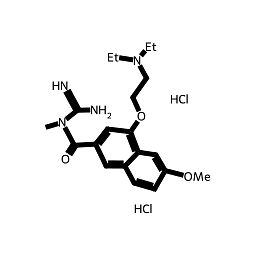 CCN(CC)CCOc1cc(C(=O)N(C)C(=N)N)cc2ccc(OC)cc12.Cl.Cl